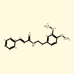 COc1ccc(CCNC(=O)/C=C/c2ccccc2)cc1OC